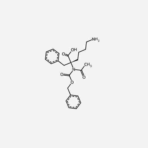 CC(=O)N(C(=O)OCc1ccccc1)[C@](CCCCN)(Cc1ccccc1)C(=O)O